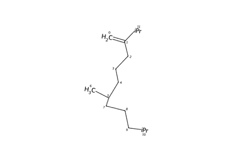 C=C(CCCC(C)CCCC(C)C)C(C)C